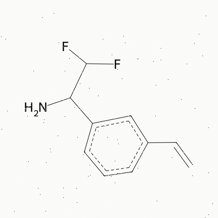 C=Cc1cccc(C(N)C(F)F)c1